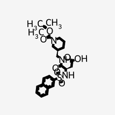 CC(C)(C)OC(=O)N1CCC[C@@H](CNC(=O)[C@@H](CC(=O)O)NS(=O)(=O)c2ccc3ccccc3c2)C1